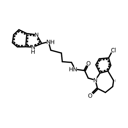 O=C(CN1C(=O)CC[C]c2cc(Cl)ccc21)NCCCCNc1nc2ccccc2[nH]1